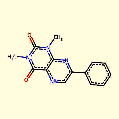 Cn1c(=O)c2ncc(-c3ccccc3)nc2n(C)c1=O